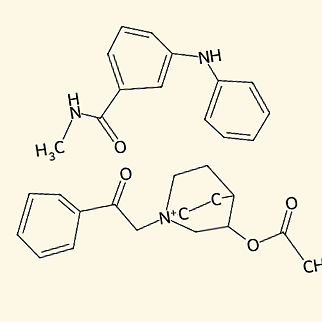 CC(=O)OC1C[N+]2(CC(=O)c3ccccc3)CCC1CC2.CNC(=O)c1cccc(Nc2ccccc2)c1